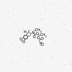 CCN(C(=O)OC(C)OC(=O)CN1CCC1)C(C)Cc1ccc2c(c1)OCO2